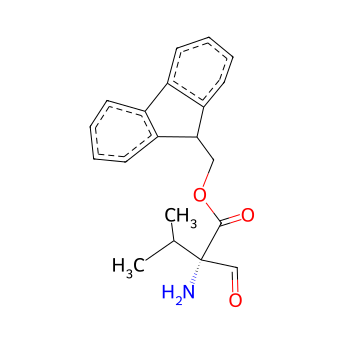 CC(C)[C@](N)(C=O)C(=O)OCC1c2ccccc2-c2ccccc21